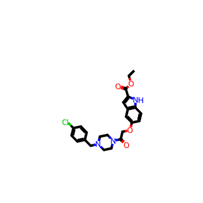 CCOC(=O)c1cc2cc(OCC(=O)N3CCN(Cc4ccc(Cl)cc4)CC3)ccc2[nH]1